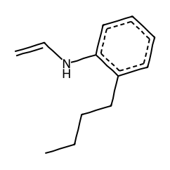 C=CNc1ccccc1CCCC